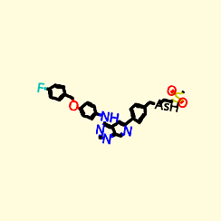 CS(=O)(=O)CC[AsH]Cc1ccc(-c2cc3c(Nc4ccc(OCc5ccc(F)cc5)cc4)ncnc3cn2)cc1